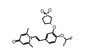 Cc1cc(=O)cc(C)n1/C=C/c1ccc(OC(F)F)c(O[C@@H]2CCS(=O)(=O)C2)c1